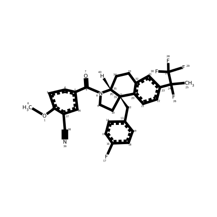 COc1ccc(C(=O)N2CC[C@@]3(Cc4ccc(F)cc4)c4ccc(C(C)(F)C(F)(F)F)cc4CC[C@@H]23)cc1C#N